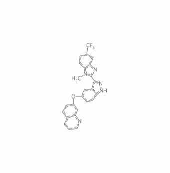 Cn1c(-c2n[nH]c3ccc(Oc4ccc5cccnc5c4)cc23)nc2cc(C(F)(F)F)ccc21